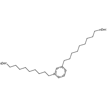 CCCCCCCCCCCCCCCCCCCc1ccc[n+](CCCCCCCCCCCCCCCCCCC)c1